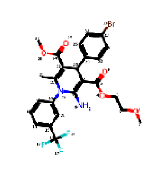 COCCOC(=O)C1=C(N)N(c2cccc(C(F)(F)F)c2)C(C)=C(C(=O)OC)C1c1ccc(Br)cc1